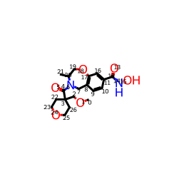 COCC1(C(=O)N2Cc3ccc(C(=O)NO)cc3OCC2C)CCOCC1